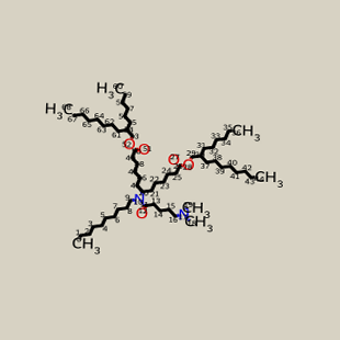 CCCCCCCCCCN(C(=O)CCCCN(C)C)C(CCCCCC(=O)OCC(CCCCCC)CCCCCCCC)CCCCCC(=O)OCC(CCCCCC)CCCCCCCC